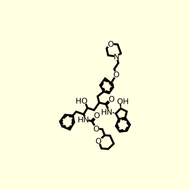 O=C(NC(Cc1ccccc1)C(O)CC(Cc1ccc(OCCN2CCOCC2)cc1)C(=O)N[C@H]1c2ccccc2C[C@@H]1O)OCC1CCCCO1